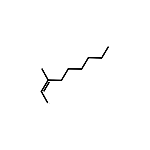 [CH2]C=C(C)CCCCCC